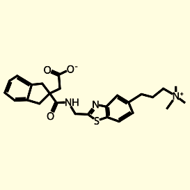 C[N+](C)(C)CCCc1ccc2sc(CNC(=O)C3(CC(=O)[O-])Cc4ccccc4C3)nc2c1